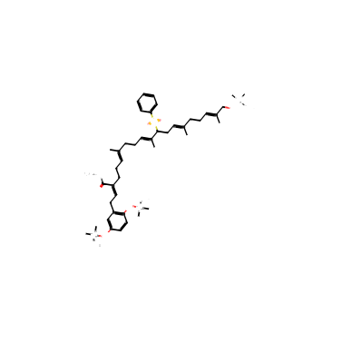 COC(=O)C(=CCc1cc(O[Si](C)(C)C(C)(C)C)ccc1O[Si](C)(C)C(C)(C)C)CC/C=C(\C)CC/C=C(\C)C(C/C=C(\C)CC/C=C(\C)CO[Si](C)(C)C(C)(C)C)S(=O)(=O)c1ccccc1